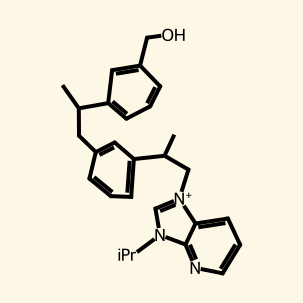 CC(Cc1cccc(C(C)C[n+]2cn(C(C)C)c3ncccc32)c1)c1cccc(CO)c1